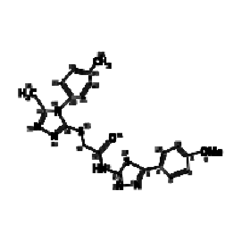 COc1ccc(-c2nnc(NC(=O)CSc3nnc(C)n3-c3ccc(C)cc3)s2)cc1